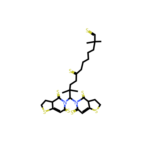 CC(C)(C=S)CCCCCC(=S)CCC(C)(C)C(N1C(=S)C=C2SCCC2C1=S)N1C(=S)C=C2SCCC2C1=S